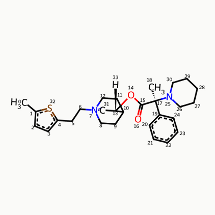 Cc1ccc(CC[N+]23CCC(CC2)[C@@H](OC(=O)[C@](C)(c2ccccc2)N2CCCCC2)C3)s1